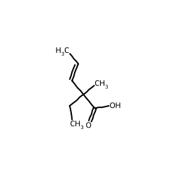 C/C=C/C(C)(CC)C(=O)O